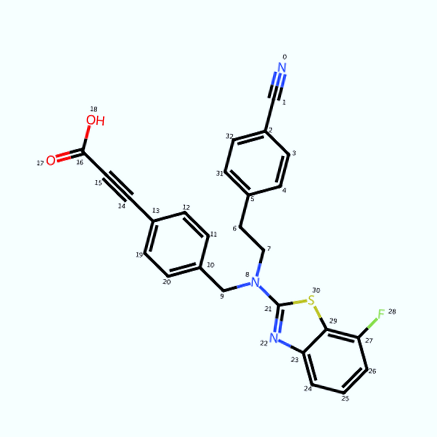 N#Cc1ccc(CCN(Cc2ccc(C#CC(=O)O)cc2)c2nc3cccc(F)c3s2)cc1